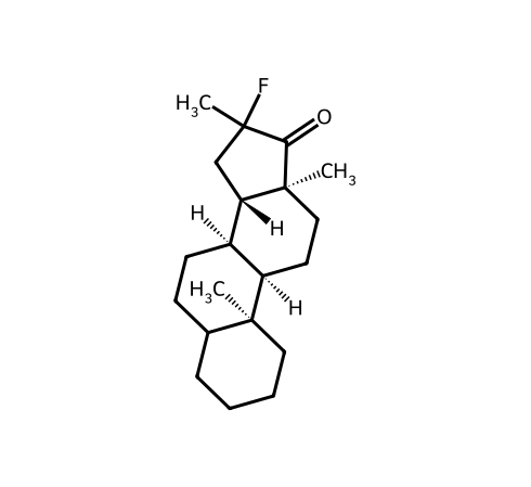 CC1(F)C[C@H]2[C@@H]3CCC4CCCC[C@]4(C)[C@@H]3CC[C@]2(C)C1=O